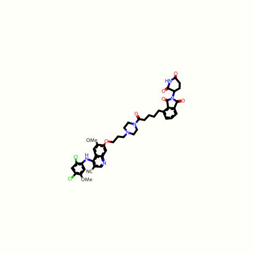 COc1cc(Nc2c(C#N)cnc3cc(OCCCN4CCN(C(=O)CCCCc5cccc6c5C(=O)N(C5CCC(=O)NC5=O)C6=O)CC4)c(OC)cc23)c(Cl)cc1Cl